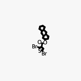 O=C(Oc1ccc2cc3ccccc3cc2c1)c1cc(Br)sc1Br